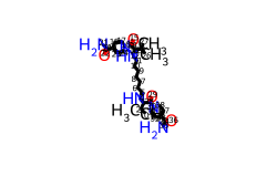 CC(C)C(NCCCCCCCNC(C(=O)N1C=CC(C(N)=O)=CC1)C(C)C)C(=O)N1C=CC(C(N)=O)=CC1